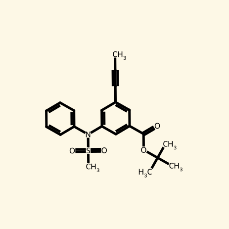 CC#Cc1cc(C(=O)OC(C)(C)C)cc(N(c2ccccc2)S(C)(=O)=O)c1